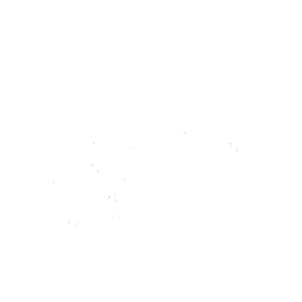 C[C@]1(C(=O)O)COCCN1S(=O)(=O)c1ccc(OCc2nc3ccccc3s2)cc1